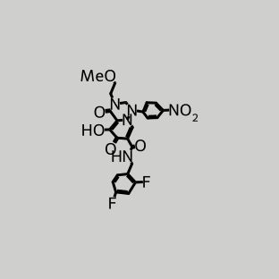 COCCN1CN(c2ccc([N+](=O)[O-])cc2)n2cc(C(=O)NCc3ccc(F)cc3F)c(=O)c(O)c2C1=O